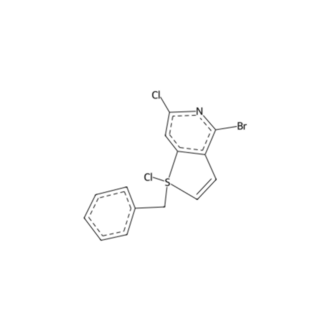 Clc1cc2c(c(Br)n1)C=CS2(Cl)Cc1ccccc1